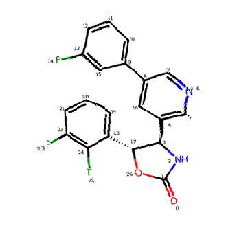 O=C1N[C@H](c2cncc(-c3cccc(F)c3)c2)[C@@H](c2cccc(F)c2F)O1